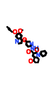 CC#CCOc1cc2nccc(Oc3ccc(NC(=O)c4cc5c(n(-c6ccccc6)c4=O)CCCC5=O)nc3)c2cc1OC